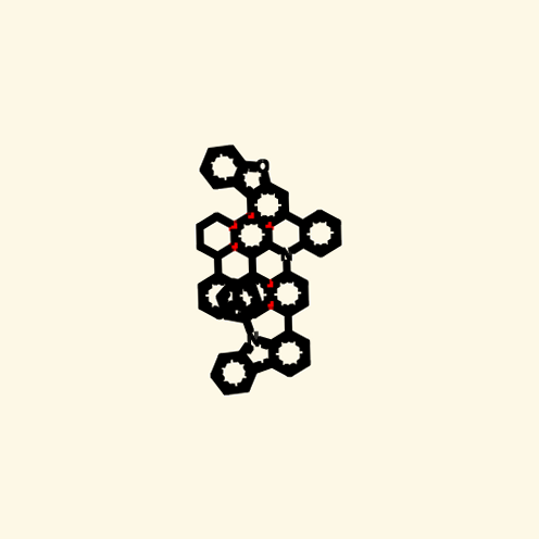 c1ccc(-n2c3ccccc3c3cccc(-c4ccc(N(c5ccccc5-c5ccc6c(c5)oc5ccccc56)c5ccccc5-c5cccc6cccc(C7CCCCC7)c56)cc4)c32)cc1